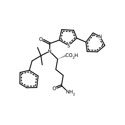 CC(C)(Cc1ccccc1)N(C(=O)c1ccc(-c2cccnc2)s1)[C@@H](CCC(N)=O)C(=O)O